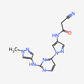 Cn1cc(Nc2nccc(-n3cc(NC(=O)CC#N)cn3)n2)cn1